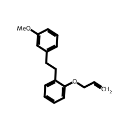 C=CCOc1ccccc1CCc1cccc(OC)c1